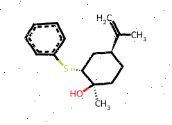 C=C(C)[C@H]1CC[C@@](C)(O)[C@H](Sc2ccccc2)C1